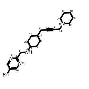 Brc1cnc(CNC2CCC(CC#CCN3CCCCC3)CC2)nc1